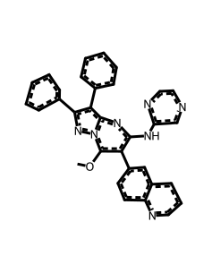 COc1c(-c2ccc3ncccc3c2)c(Nc2cnccn2)nc2c(-c3ccccc3)c(-c3ccccc3)nn12